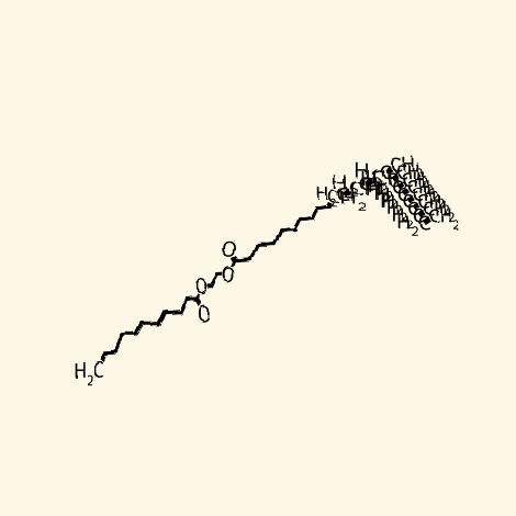 C=C.C=C.C=C.C=C.C=C.C=C.C=C.C=C.C=C.C=C.C=CCCCCCCCCC(=O)OCCOC(=O)CCCCCCCCC=C